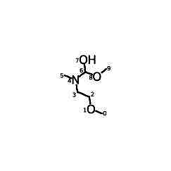 COCCN(C)C(O)OC